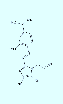 C=CCn1c(N=Nc2ccc(N(C)C)cc2NC(C)=O)nc(C#N)c1C#N